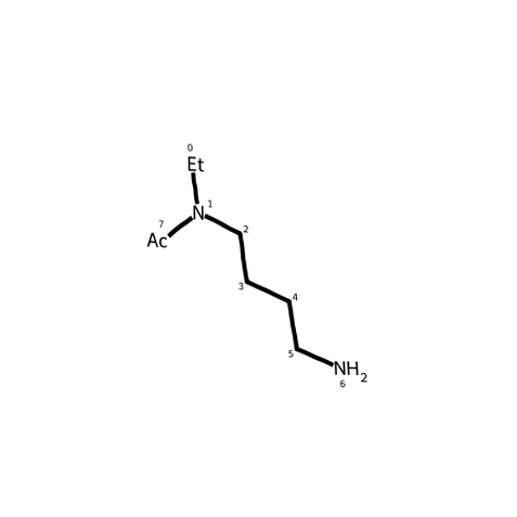 CCN(CCCCN)C(C)=O